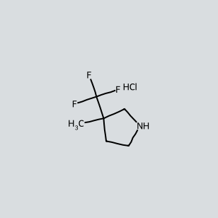 CC1(C(F)(F)F)CCNC1.Cl